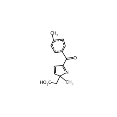 Cc1ccc(C(=O)C2=NC(C)(CC(=O)O)C=C2)cc1